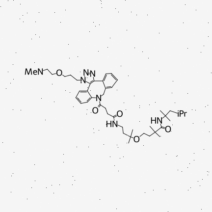 CNCCOCCCn1nnc2c1-c1ccccc1N(C(=O)CCC(=O)NCCC(C)(C)OCCC(C)(C)C(=O)NC(C)(C)CC(C)C)Cc1ccccc1-2